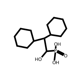 O=P(O)(O)C(O)C(C1CCCCC1)C1CCCCC1